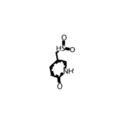 O=c1ccc(C[SH](=O)=O)c[nH]1